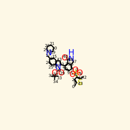 Cc1cc(S(=O)(=O)Oc2ccc(-c3cc4cc(CN5CCCCC5)ccc4n3C(=O)OC(C)(C)C)c3c2CNC3=O)c(C)s1